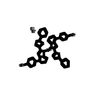 CCCc1ccc(-c2cccc3c2C=C(c2ccc(-c4ccccc4)s2)[CH]3[Zr+2][CH]2C(c3ccc(-c4ccccc4)s3)=Cc3c(-c4ccc(CCC)cc4)cccc32)cc1.[Cl-].[Cl-]